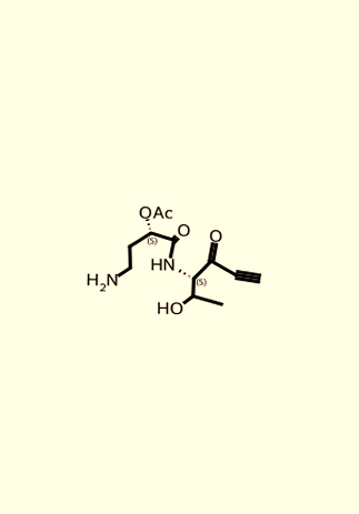 C#CC(=O)[C@@H](NC(=O)[C@H](CCN)OC(C)=O)C(C)O